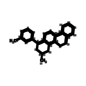 Cc1cccc(C2=c3ccc4c(c3C[C@@H](C)C2)CC=c2ccccc2=4)c1